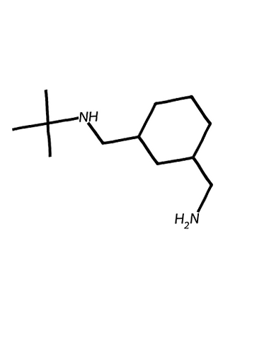 CC(C)(C)NCC1CCCC(CN)C1